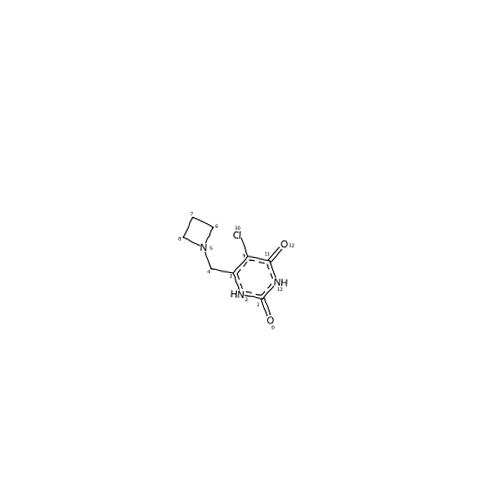 O=c1[nH]c(CN2CCC2)c(Cl)c(=O)[nH]1